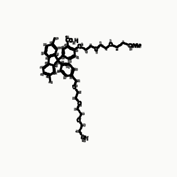 COCCOCCOCCOc1ccc(C2(c3ccc(COCCOCCOCCO)cc3)c3cc(C)ccc3-c3ccc(C)cc32)cc1C(=O)O